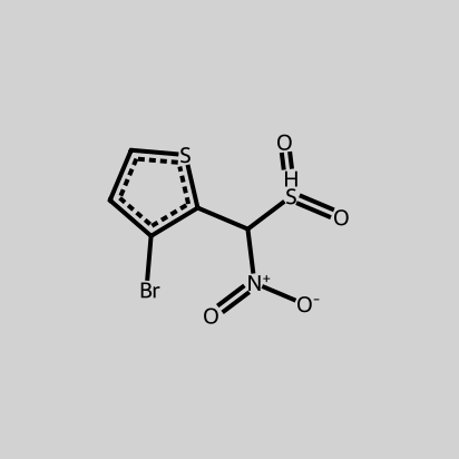 O=[N+]([O-])C(c1sccc1Br)[SH](=O)=O